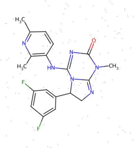 Cc1ccc(NC2=NC(=O)N(C)C3=NCC(c4cc(F)cc(F)c4)N23)c(C)n1